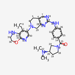 Cc1c(N2CCc3cnc(Nc4ccc(C(=O)N5CC[C@@H](N(C)C)C5)cc4)nc3C2)cnc2c1NCCO2